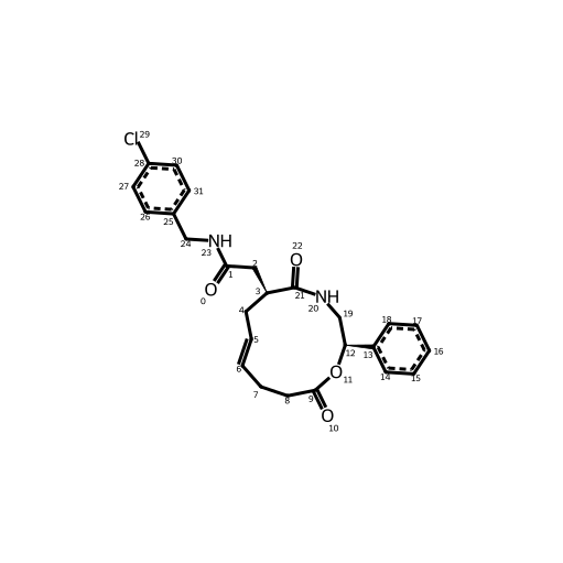 O=C(C[C@@H]1C/C=C/CCC(=O)O[C@H](c2ccccc2)CNC1=O)NCc1ccc(Cl)cc1